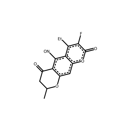 CCc1c(F)c(=O)oc2cc3c(c(N=O)c12)C(=O)CC(C)O3